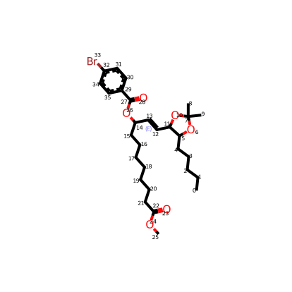 CCCCCC1OC(C)(C)OC1/C=C/C(CCCCCCCC(=O)OC)OC(=O)c1ccc(Br)cc1